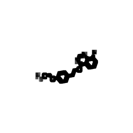 Fc1cccc2c(OCCc3ccc(OCC(F)(F)F)cc3)ncnc12